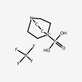 F[B-](F)(F)F.O=P(O)(O)[N+]12CCN(CC1)CC2